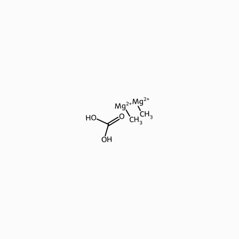 O=C(O)O.[CH3][Mg+2].[CH3][Mg+2]